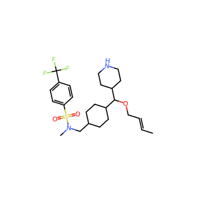 C/C=C/COC(C1CCNCC1)C1CCC(CN(C)S(=O)(=O)c2ccc(C(F)(F)F)cc2)CC1